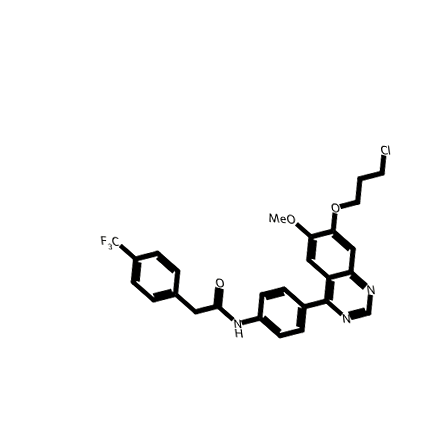 COc1cc2c(-c3ccc(NC(=O)Cc4ccc(C(F)(F)F)cc4)cc3)ncnc2cc1OCCCCl